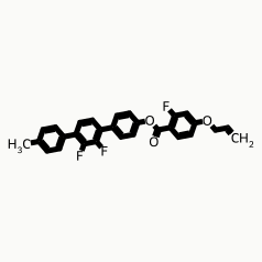 C=CCOc1ccc(C(=O)Oc2ccc(-c3ccc(-c4ccc(C)cc4)c(F)c3F)cc2)c(F)c1